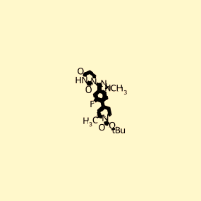 C[C@@H]1C=C(c2cc3c(cc2F)c(N2CCC(=O)NC2=O)nn3C)CCN1C(=O)OC(C)(C)C